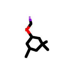 CC1CC(OCI)CC(C)(C)C1